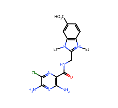 CCn1c(CNC(=O)c2nc(Cl)c(N)nc2N)[n+](CC)c2ccc(C(=O)O)cc21